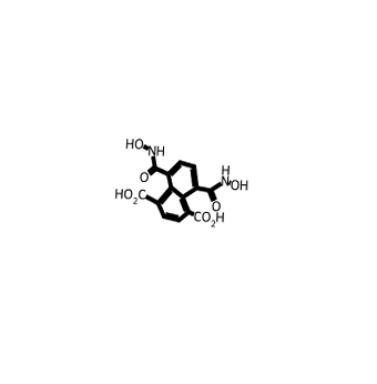 O=C(O)c1ccc(C(=O)O)c2c(C(=O)NO)ccc(C(=O)NO)c12